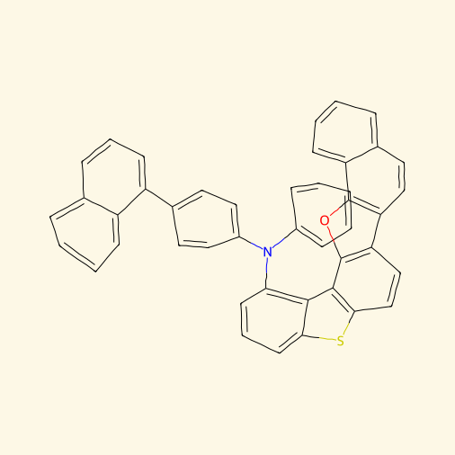 c1ccc(N(c2ccc(-c3cccc4ccccc34)cc2)c2cccc3sc4ccc5c6ccc7ccccc7c6oc5c4c23)cc1